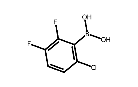 OB(O)c1c(Cl)ccc(F)c1F